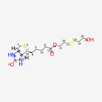 O=C1N[C@H]2[C@H](CS[C@H]2CCCCC(=O)OCCSSCCO)N1